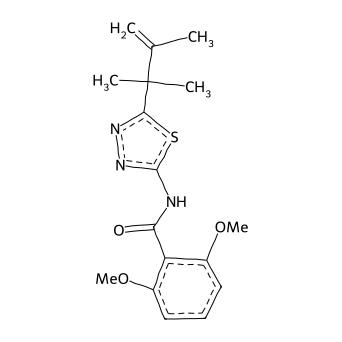 C=C(C)C(C)(C)c1nnc(NC(=O)c2c(OC)cccc2OC)s1